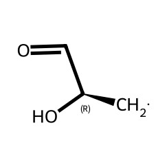 [CH2][C@@H](O)C=O